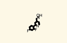 ON=Cc1ccnc(-c2ccc(F)cc2F)c1